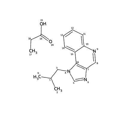 CC(C)Cn1cnc2cnc3ccccc3c21.CCC(=O)O